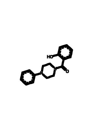 O=C(c1ccccc1O)N1CCN(c2ccccc2)CC1